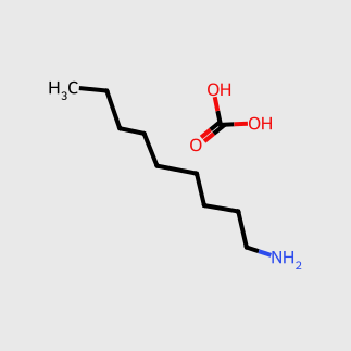 CCCCCCCCCN.O=C(O)O